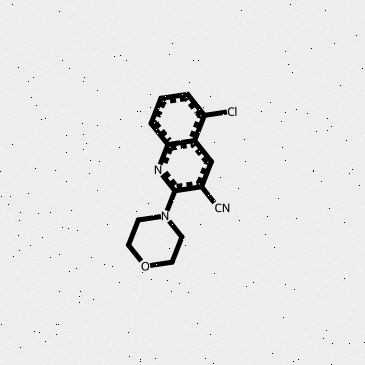 N#Cc1cc2c(Cl)cccc2nc1N1CCOCC1